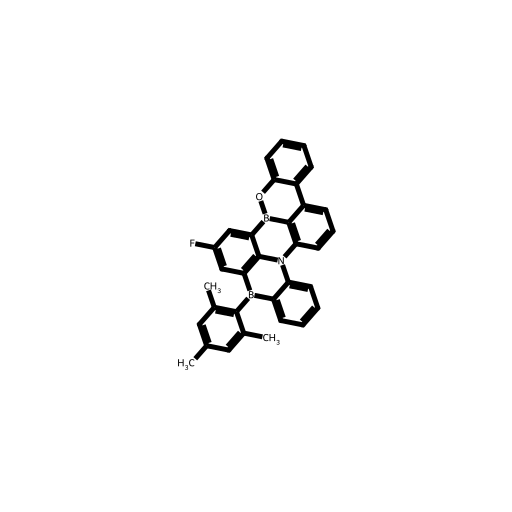 Cc1cc(C)c(B2c3ccccc3N3c4cccc5c4B(Oc4ccccc4-5)c4cc(F)cc2c43)c(C)c1